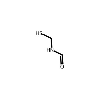 O=CNCS